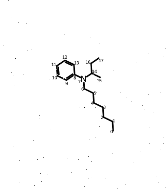 CCCCCCCN(c1ccccc1)C(C)CC